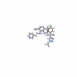 [2H]C(Nc1cc(Cl)c2ncc(C#N)c(NCCc3cccnc3)c2c1)(c1ccc(F)cc1)c1cn(C2CC2)nn1